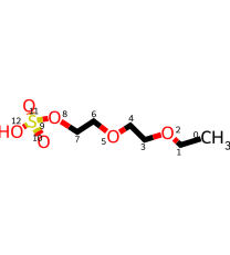 CCOCCOCCOS(=O)(=O)O